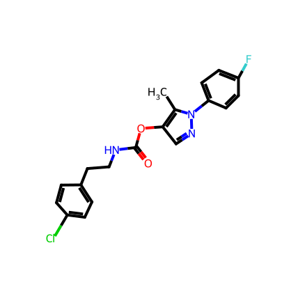 Cc1c(OC(=O)NCCc2ccc(Cl)cc2)cnn1-c1ccc(F)cc1